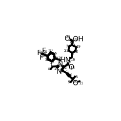 CCc1nc(C#CC(C)(C)OC)c(C(=O)NCC2CCC(C(=O)O)CC2)n1Cc1ccc(C(F)(F)F)cc1